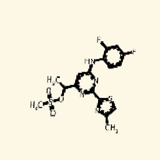 Cc1csc(-c2nc(Nc3ccc(F)cc3F)cc(C(C)OS(C)(=O)=O)n2)n1